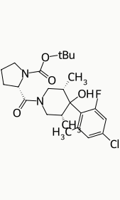 Cc1cc(Cl)cc(F)c1C1(O)[C@H](C)CN(C(=O)[C@@H]2CCCN2C(=O)OC(C)(C)C)C[C@@H]1C